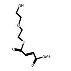 COC(=O)C=CC(=O)OCCOCCO